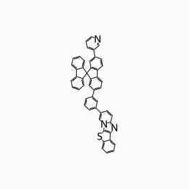 c1cncc(-c2ccc3c(c2)C2(c4ccccc4-c4ccccc42)c2cc(-c4cccc(-c5ccc6nc7c8ccccc8sc7n6c5)c4)ccc2-3)c1